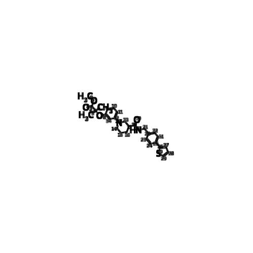 COC(=O)C(C)(C)Oc1cccc(N2CCCC(C(=O)NCc3ccc(-c4cccs4)cc3)C2)c1